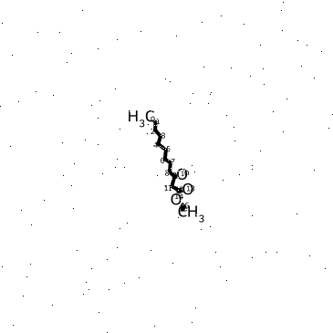 CCCCCCCCCC(=O)CC(=O)OCC